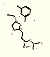 CCCCC[C@@H](CC[C@@H]1[C@@H](Cc2cccc(C)c2)[C@@H](CO)C[C@H]1C)OP(P)P